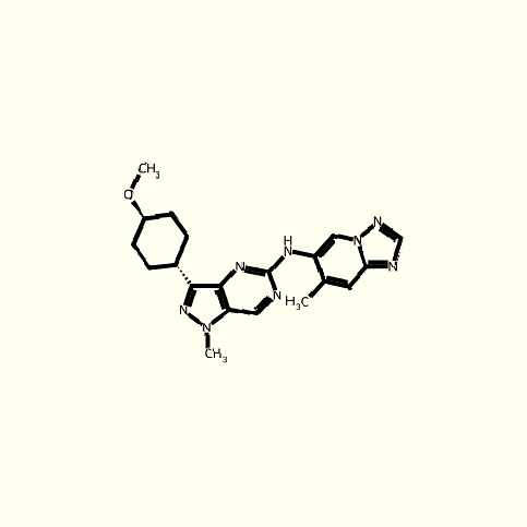 CO[C@H]1CC[C@H](c2nn(C)c3cnc(Nc4cn5ncnc5cc4C)nc32)CC1